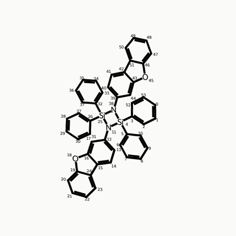 c1ccc([Si]2(c3ccccc3)N(c3ccc4c(c3)oc3ccccc34)[Si](c3ccccc3)(c3ccccc3)N2c2ccc3c(c2)oc2ccccc23)cc1